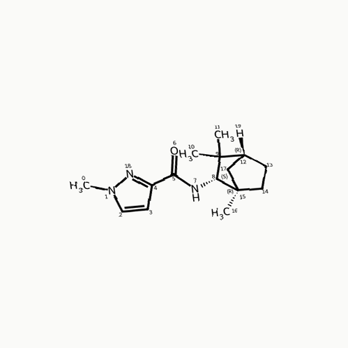 Cn1ccc(C(=O)N[C@@H]2C(C)(C)[C@@H]3CC[C@]2(C)C3)n1